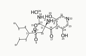 CCCC(CCC)S(=O)(=O)C[C@](N)(C(N)=O)C(=O)c1c(O)cncc1O.Cl